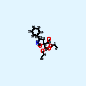 CCOC(=O)C1(C(=O)OCC)CC(c2ccccc2)=NO1